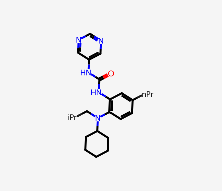 CCCc1ccc(N(CC(C)C)C2CCCCC2)c(NC(=O)Nc2cncnc2)c1